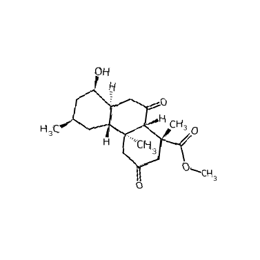 COC(=O)[C@]1(C)CC(=O)C[C@@]2(C)[C@@H]3C[C@@H](C)C[C@@H](O)[C@H]3CC(=O)[C@@H]21